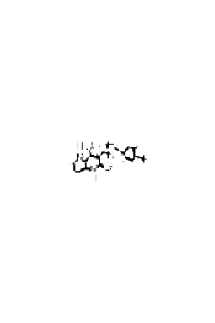 O=C(NCc1ccc(F)cc1)c1c(O)c2ncccc2[nH]c1=O